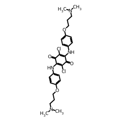 CN(C)CCCOc1ccc(NC2=C(Cl)C(=O)C(Nc3ccc(OCCCN(C)C)cc3)=C(Cl)C2=O)cc1